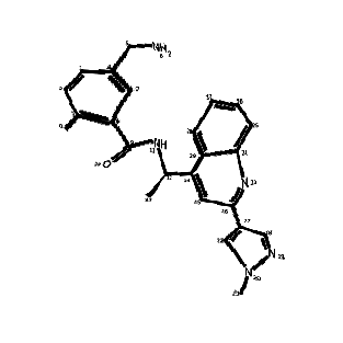 Cc1ccc(CN)cc1C(=O)N[C@H](C)c1cc(-c2cnn(C)c2)nc2ccccc12